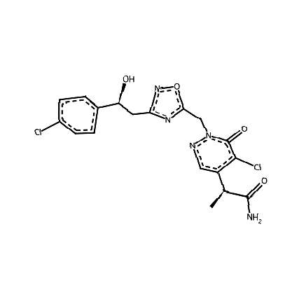 C[C@H](C(N)=O)c1cnn(Cc2nc(C[C@H](O)c3ccc(Cl)cc3)no2)c(=O)c1Cl